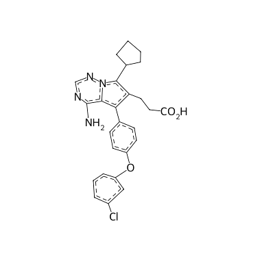 Nc1ncnn2c(C3CCCC3)c(CCC(=O)O)c(-c3ccc(Oc4cccc(Cl)c4)cc3)c12